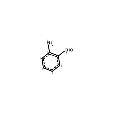 O=Cc1ccccc1P